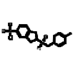 Cc1ccc(CS(=O)(=O)C2Cc3ccc(S(=O)(=O)Cl)cc3C2)cc1